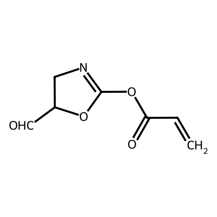 C=CC(=O)OC1=NCC(C=O)O1